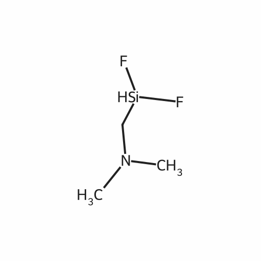 CN(C)C[SiH](F)F